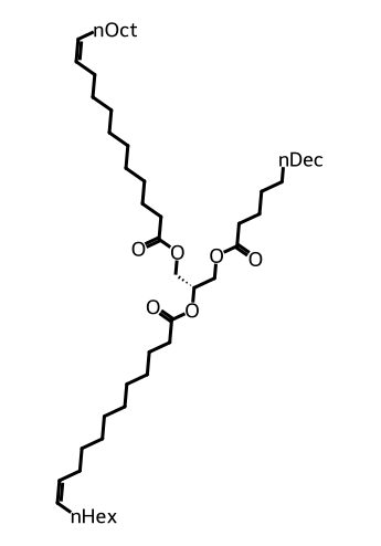 CCCCCC/C=C\CCCCCCCCCC(=O)O[C@H](COC(=O)CCCCCCCCC/C=C\CCCCCCCC)COC(=O)CCCCCCCCCCCCCC